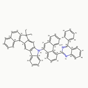 CC1(C)c2cc3c(cc2-c2c1ccc1ccccc21)c1ccccc1n3-c1cc2ccccc2c2c(-c3nc(-c4ccccc4)c4ccccc4n3)cccc12